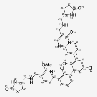 COc1nc(-c2cccc(-c3cc(Cl)cc(-c4ccn5c(=O)c(CNC[C@@H]6CCC(=O)N6)cnc5c4)c3Cl)c2Cl)ccc1CNC[C@@H]1CCC(=O)N1